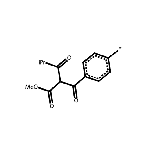 COC(=O)C(C(=O)c1ccc(F)cc1)C(=O)C(C)C